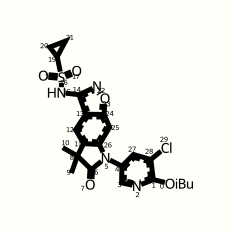 CC(C)COc1ncc(N2C(=O)C(C)(C)c3cc4c(NS(=O)(=O)C5CC5)noc4cc32)cc1Cl